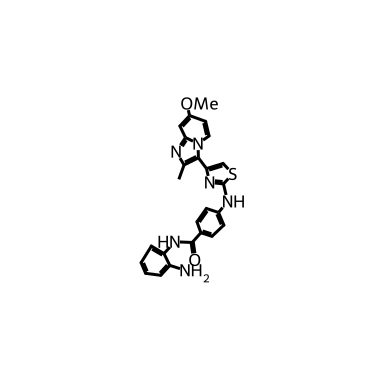 COc1ccn2c(-c3csc(Nc4ccc(C(=O)Nc5ccccc5N)cc4)n3)c(C)nc2c1